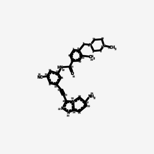 CN1CCN(Cc2ccc(C(=O)Nc3cc(C#N)cc(C#Cc4nnc5ccc(N)cn45)c3)cc2C(F)(F)F)CC1